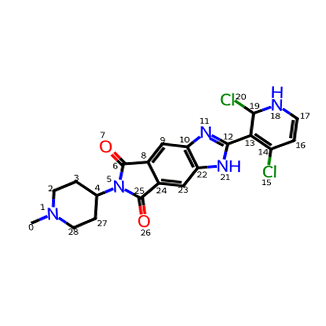 CN1CCC(N2C(=O)c3cc4nc(C5=C(Cl)C=CNC5Cl)[nH]c4cc3C2=O)CC1